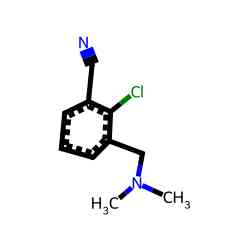 CN(C)Cc1cccc(C#N)c1Cl